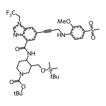 COc1cc(S(C)(=O)=O)ccc1NCC#Cc1cc(C(=O)NC2CCN(C(=O)OC(C)(C)C)CC2CO[Si](C)(C)C(C)(C)C)c2ncn(CC(F)(F)F)c2c1